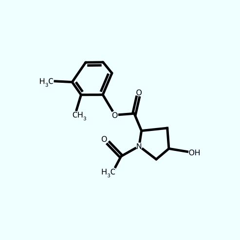 CC(=O)N1CC(O)CC1C(=O)Oc1cccc(C)c1C